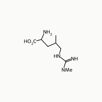 CNC(=N)NCC(C)CC(N)C(=O)O